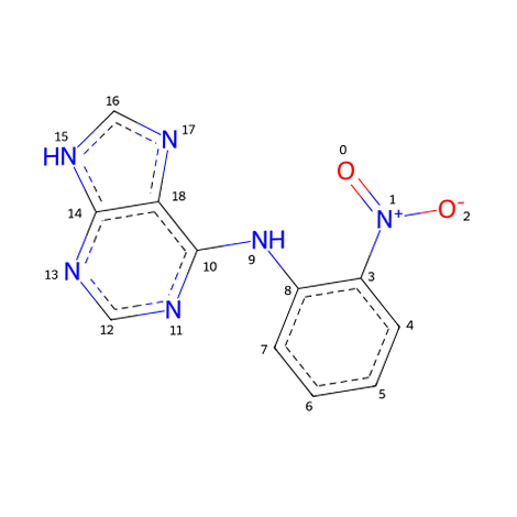 O=[N+]([O-])c1ccccc1Nc1ncnc2[nH]cnc12